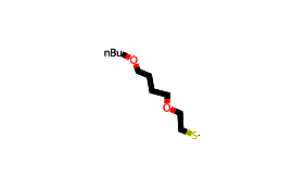 CCCCOCCCCOCC[S]